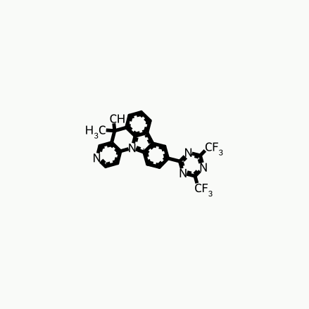 CC1(C)c2cnccc2-n2c3ccc(-c4nc(C(F)(F)F)nc(C(F)(F)F)n4)cc3c3cccc1c32